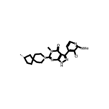 CNc1nccc(-c2n[nH]c3nc(N4CCC5(CC[C@H](C)C5)CC4)n(C)c(=O)c23)c1Cl